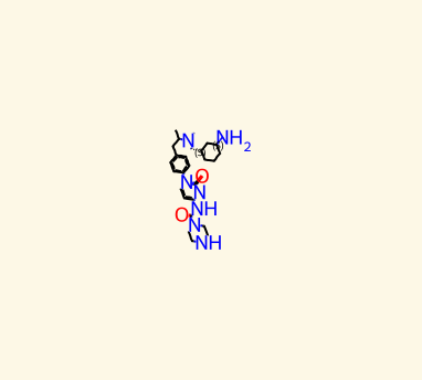 CC(Cc1ccc(-n2ccc(NC(=O)N3CCNCC3)nc2=O)cc1)N(C)C[C@H]1CCC[C@H](N)C1